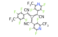 N#CC(=C1C(=C(/C#N)c2c(F)c(F)nc(C(F)(F)F)c2F)/C1=C(/C#N)c1c(F)c(F)nc(C(F)(F)F)c1F)c1c(F)c(F)c(C(F)(F)F)c(F)c1F